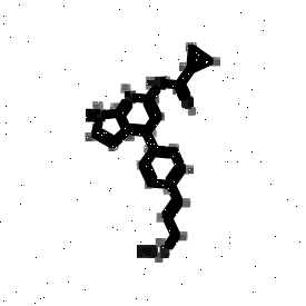 O=C(Nc1cc(-c2ccc(C=CCS(=O)(=O)O)cc2)c2cc[nH]c2n1)C1CC1